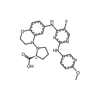 COc1ccc(Nc2ncc(F)c(Nc3ccc4c(c3)N(N3CCC[C@H]3C(=O)O)CCO4)n2)cn1